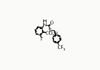 O=C(Nc1cccc(F)c1C(=O)O)SCc1ccc(C(F)(F)F)cc1